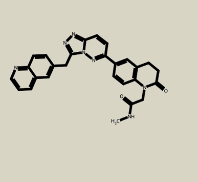 CNC(=O)CN1C(=O)CCc2cc(-c3ccc4nnc(Cc5ccc6ncccc6c5)n4n3)ccc21